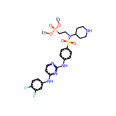 CCOP(=O)(CCN(C1CCNCC1)S(=O)(=O)c1ccc(Nc2nccc(Nc3ccc(F)c(F)c3)n2)cc1)OCC